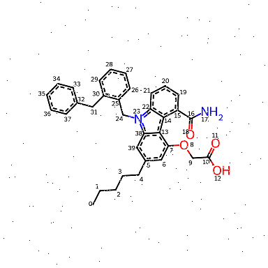 CCCCCc1cc(OCC(=O)O)c2c3c(C(N)=O)cccc3n(Cc3ccccc3Cc3ccccc3)c2c1